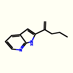 C=C(CCC)c1cc2cccnc2[nH]1